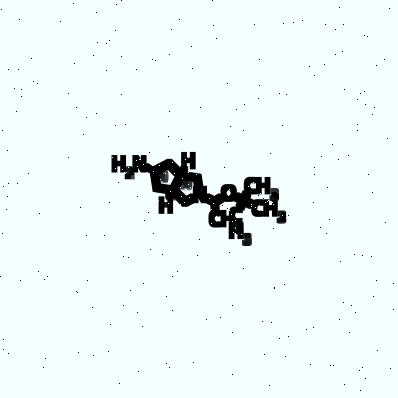 CC(OC(C)(C)C)N1C[C@H]2C[C@H](N)C[C@H]2C1